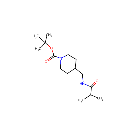 CC(C)C(=O)NCC1CCN(C(=O)OC(C)(C)C)CC1